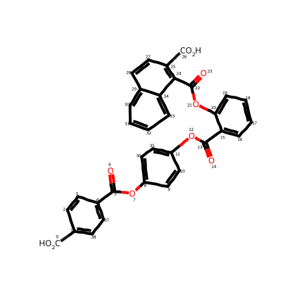 O=C(O)c1ccc(C(=O)Oc2ccc(OC(=O)c3ccccc3OC(=O)c3c(C(=O)O)ccc4ccccc34)cc2)cc1